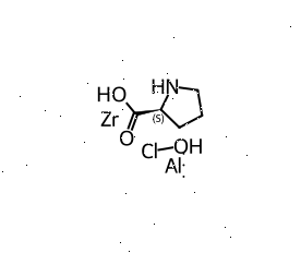 O=C(O)[C@@H]1CCCN1.OCl.[Al].[Zr]